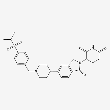 CC(F)S(=O)(=O)c1ccc(CN2CCC(c3ccc4c(c3)CN(C3CCC(=O)NC3=O)C4=O)CC2)cc1